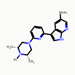 CC(=O)Nc1cnc2[nH]cc(-c3cccc(N4C[C@@H](C)N(C(C)=O)[C@@H](C)C4)n3)c2c1